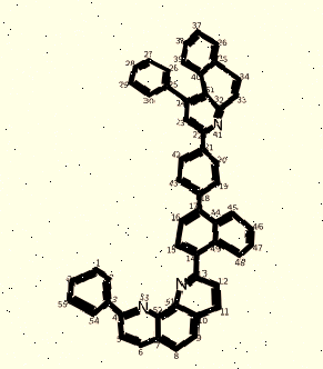 c1ccc(-c2ccc3ccc4ccc(-c5ccc(-c6ccc(-c7cc(-c8ccccc8)c8c(ccc9ccccc98)n7)cc6)c6ccccc56)nc4c3n2)cc1